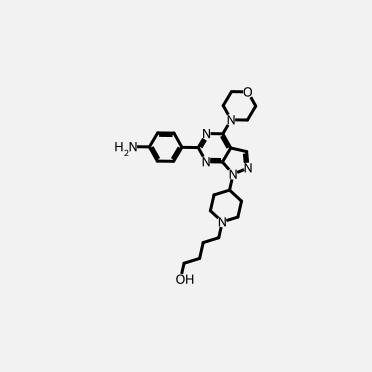 Nc1ccc(-c2nc(N3CCOCC3)c3cnn(C4CCN(CCCCO)CC4)c3n2)cc1